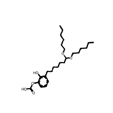 CCCCCCOC(CCCCCCc1cccc(OC(=O)O)c1O)OCCCCCC